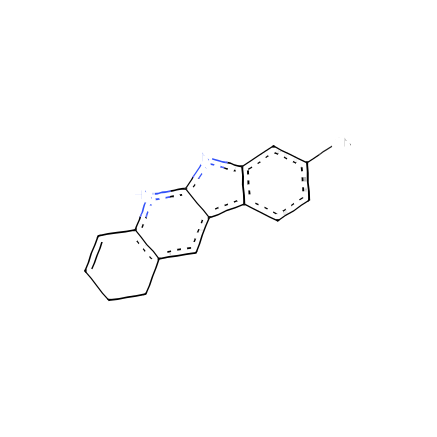 N#Cc1ccc2c3cc4c([nH]c-3nc2c1)C=CCC4